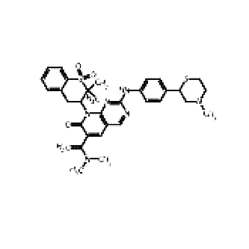 C=C(c1cc2cnc(Nc3ccc(C4CN(C)CCS4)cc3)nc2n(C2Cc3ccccc3S(=O)(=O)C2(C)C)c1=O)N(C)C